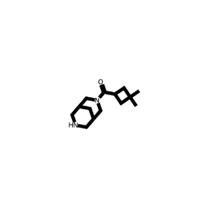 CC1(C)CC(C(=O)N2CC3CNCC(C3)C2)C1